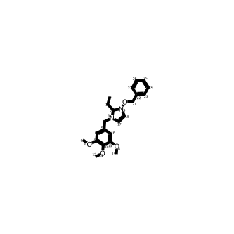 CCC1N(Cc2cc(OC)c(OC)c(OC)c2)C=CN1OCc1ccccc1